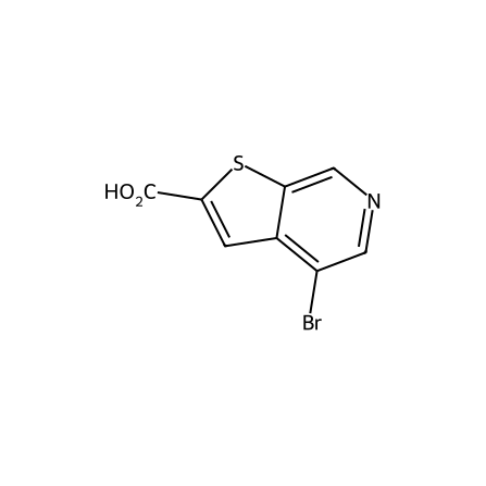 O=C(O)c1cc2c(Br)cncc2s1